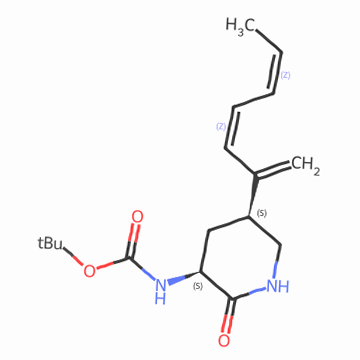 C=C(/C=C\C=C/C)[C@H]1CNC(=O)[C@@H](NC(=O)OC(C)(C)C)C1